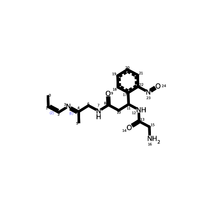 C/C=C\N=C(/C)CNC(=O)CC(NC(=O)CN)c1ccccc1N=O